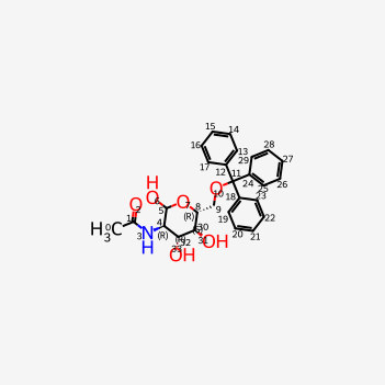 CC(=O)N[C@H]1C(O)O[C@H](COC(c2ccccc2)(c2ccccc2)c2ccccc2)[C@@H](O)[C@@H]1O